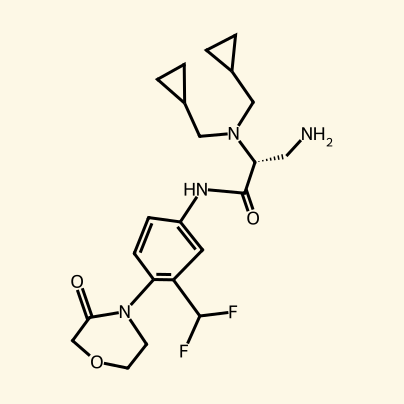 NC[C@H](C(=O)Nc1ccc(N2CCOCC2=O)c(C(F)F)c1)N(CC1CC1)CC1CC1